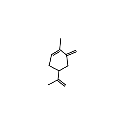 C=C1CC(C(=C)C)CC=C1C